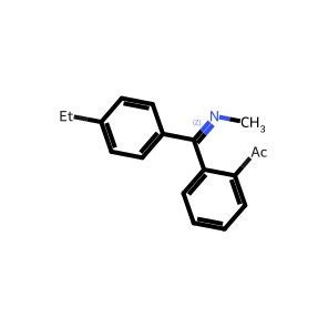 CCc1ccc(/C(=N/C)c2ccccc2C(C)=O)cc1